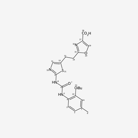 Cc1ccc(NC(=O)Nc2ncc(CCc3nc(C(=O)O)co3)s2)c(OCC(C)C)c1